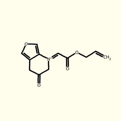 C=CCOC(=O)C=[N+]1CC(=O)Cc2cocc21